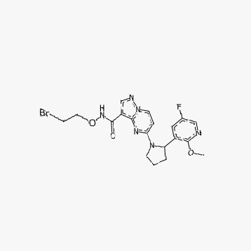 COc1ncc(F)cc1C1CCCN1c1ccn2ncc(C(=O)NOCCBr)c2n1